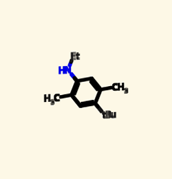 CCNc1cc(C)c(C(C)(C)C)cc1C